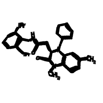 Cc1ccc2c(c1)N(c1ccccc1)C(CC(=O)Nc1c(C(C)C)cccc1C(C)C)C(=O)N2C